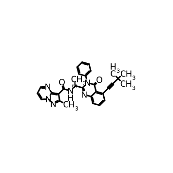 Cc1nn2cccnc2c1C(=O)N[C@@H](C)c1nc2cccc(C#CC(C)(C)C)c2c(=O)n1-c1ccccc1